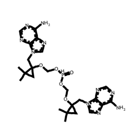 CC1(C)CC1(Cn1cnc2c(N)ncnc21)OCO[PH](=O)OCOC1(Cn2cnc3c(N)ncnc32)CC1(C)C